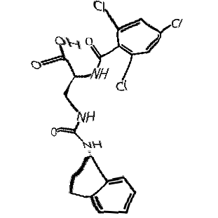 O=C(NC[C@H](NC(=O)c1c(Cl)cc(Cl)cc1Cl)C(=O)O)N[C@H]1CCc2ccccc21